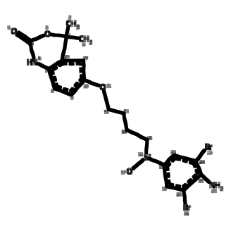 CC1(C)OC(=O)Nc2ccc(OCCCC[S+]([O-])c3cc(Br)c(N)c(Br)c3)cc21